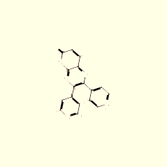 O=c1ccc2nc(-c3ccncc3)c(-c3ccncc3)nc2[nH]1